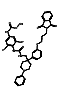 CC(C)c1cc(NC(=O)OC(C)(C)C)cc(C(C)C)c1NC(=O)NCC1(c2cccc(OCCCN3C(=O)c4ccccc4C3=O)c2)CCN(c2ccccc2)CC1